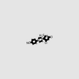 Cc1nc(Cl)cc(Cl)c1N1CCN(c2ccc(C#N)cc2)CC1